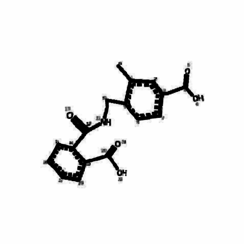 Cc1cc(C(=O)O)ccc1CNC(=O)c1ccccc1C(=O)O